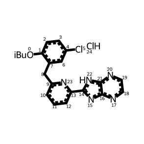 CC(C)COc1ccc(Cl)cc1Cc1cccc(-c2nc3nccnc3[nH]2)n1.Cl